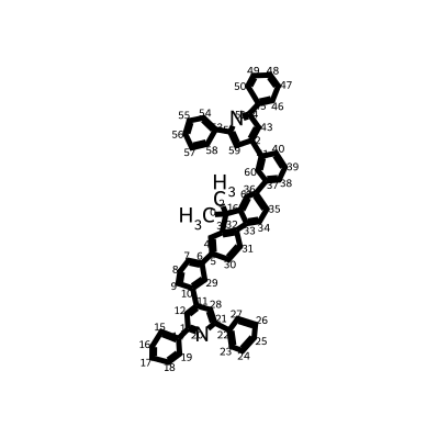 CC1(C)c2cc(-c3cccc(-c4cc(-c5ccccc5)nc(-c5ccccc5)c4)c3)ccc2-c2ccc(-c3cccc(-c4cc(-c5ccccc5)nc(-c5ccccc5)c4)c3)cc21